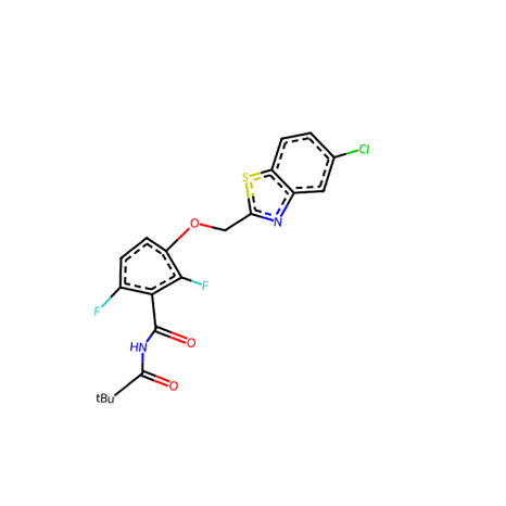 CC(C)(C)C(=O)NC(=O)c1c(F)ccc(OCc2nc3cc(Cl)ccc3s2)c1F